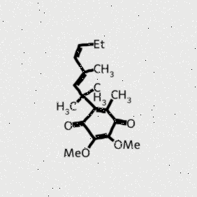 CC/C=C\C(C)=C\C(C)(C)C1=C(C)C(=O)C(OC)=C(OC)C1=O